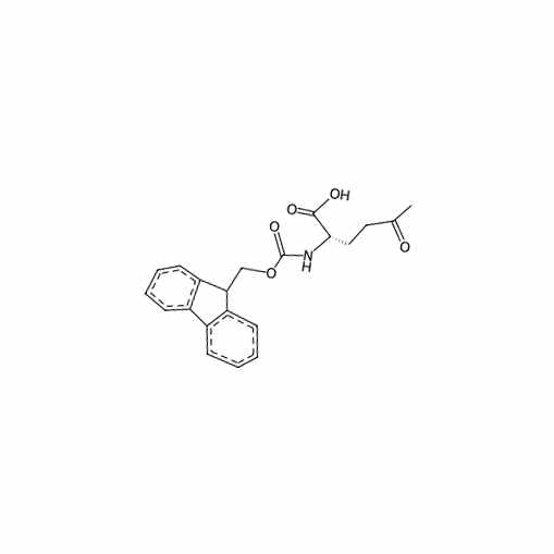 CC(=O)CC[C@H](NC(=O)OCC1c2ccccc2-c2ccccc21)C(=O)O